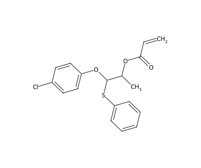 C=CC(=O)OC(C)C(Oc1ccc(Cl)cc1)Sc1ccccc1